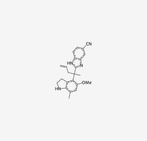 C=CCC(C)(c1nc2cc(C#N)ccc2[nH]1)c1c(OC)cc(C)c2c1CCN2